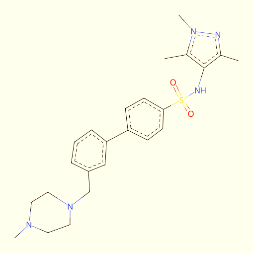 Cc1nn(C)c(C)c1NS(=O)(=O)c1ccc(-c2cccc(CN3CCN(C)CC3)c2)cc1